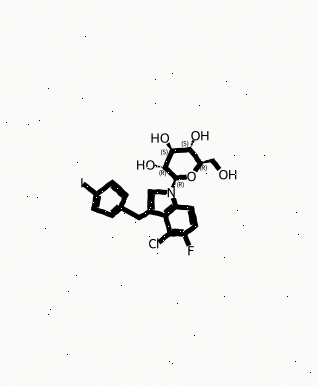 OC[C@H]1O[C@@H](n2cc(Cc3ccc(I)cc3)c3c(Cl)c(F)ccc32)[C@H](O)[C@@H](O)[C@@H]1O